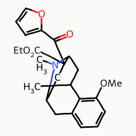 CCOC(=O)C1(C(=O)c2ccco2)CC2(C)C3CC1N(C)C2Cc1cccc(OC)c13